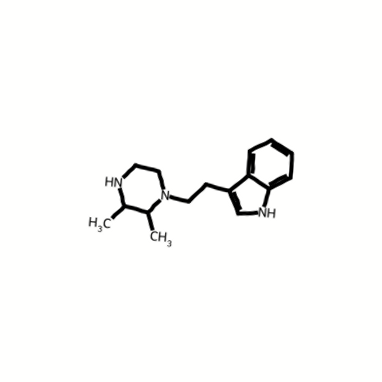 CC1NCCN(CCc2c[nH]c3ccccc23)C1C